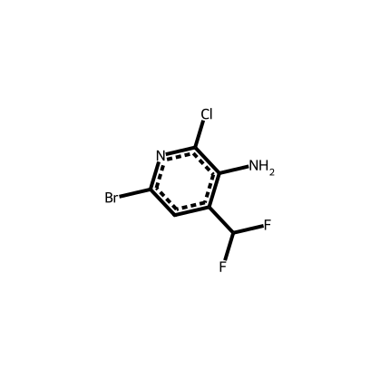 Nc1c(C(F)F)cc(Br)nc1Cl